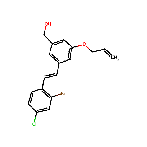 C=CCOc1cc(C=Cc2ccc(Cl)cc2Br)cc(CO)c1